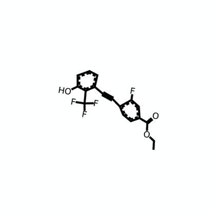 CCOC(=O)c1ccc(C#Cc2cccc(O)c2C(F)(F)F)c(F)c1